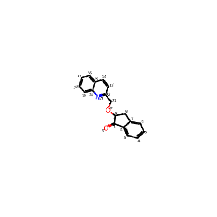 O=C1c2ccccc2CC1OCc1ccc2ccccc2n1